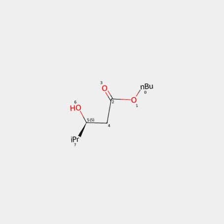 CCCCOC(=O)C[C@H](O)C(C)C